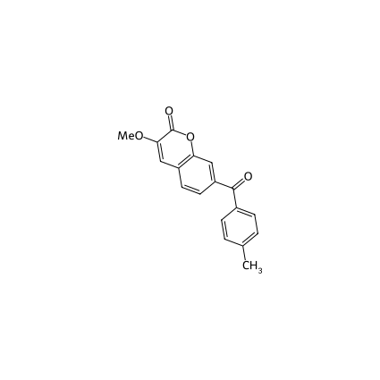 COc1cc2ccc(C(=O)c3ccc(C)cc3)cc2oc1=O